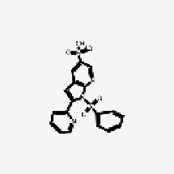 CS(=O)(=O)c1cnc2c(c1)cc(-c1ccccn1)n2S(=O)(=O)c1ccccc1